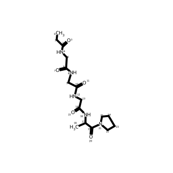 CCC(=O)NCC(=O)NCC(=O)NCC(=O)NC(C)C(=O)N1CCCC1